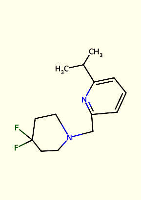 CC(C)c1cccc(CN2CCC(F)(F)CC2)n1